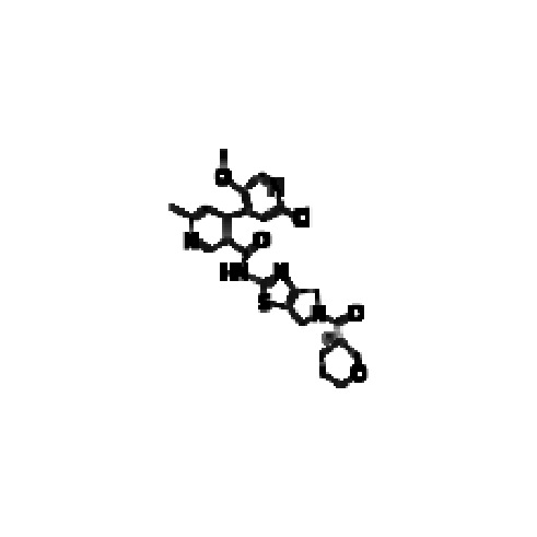 COc1cnc(Cl)cc1-c1cc(C)ncc1C(=O)Nc1nc2c(s1)CN(C(=O)[C@H]1CCCOC1)C2